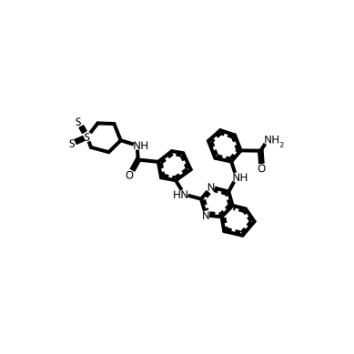 NC(=O)c1ccccc1Nc1nc(Nc2cccc(C(=O)NC3CCS(=S)(=S)CC3)c2)nc2ccccc12